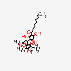 CCCCCCCCCC(=O)c1c(O)cc(O)c(C(CC(C)C)C2=C(O)C(C)(C)C(=O)C(C)(C)C2=O)c1O